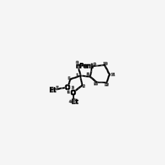 CCCCCC(COCC)(COCC)C1CCCCC1